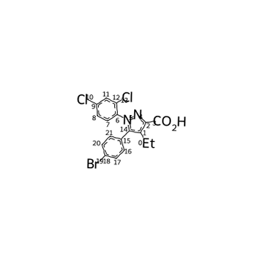 CCc1c(C(=O)O)nn(-c2ccc(Cl)cc2Cl)c1-c1ccc(Br)cc1